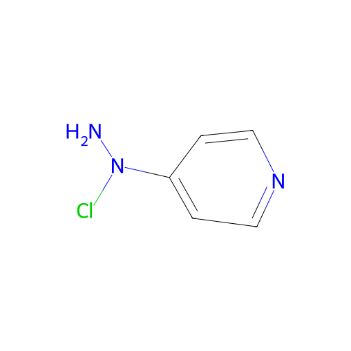 NN(Cl)c1ccncc1